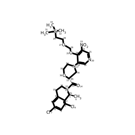 C[C@H]1c2c(Cl)cc(Cl)cc2CCN1C(=O)[C@H]1CN(c2cncc([N+](=O)[O-])c2OCOCC[Si](C)(C)C)CCO1